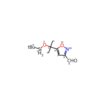 CC(C)(C)[SiH2]OC(C)(C)c1cc(C=O)no1